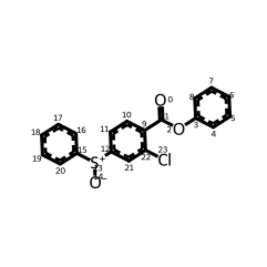 O=C(Oc1ccccc1)c1ccc([S+]([O-])c2ccccc2)cc1Cl